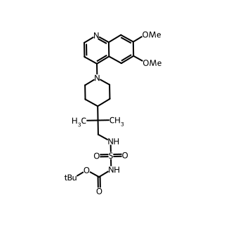 COc1cc2nccc(N3CCC(C(C)(C)CNS(=O)(=O)NC(=O)OC(C)(C)C)CC3)c2cc1OC